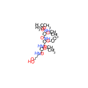 CC(C)COc1cc(C(=O)Nc2ccc(C(=O)Nc3ccc(C(=O)NCCCCCC(=O)O)cc3OCC(C)C)cc2OCc2ccc3ccccc3c2)ccc1NC(=O)OC(C)(C)C